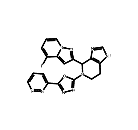 Fc1cccn2nc(C3c4nc[nH]c4CCN3c3nnc(-c4cccnn4)o3)cc12